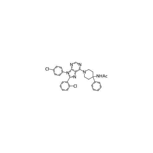 CC(=O)NC1(c2ccccc2)CCN(c2ncnc3c2nc(-c2ccccc2Cl)n3-c2ccc(Cl)cc2)CC1